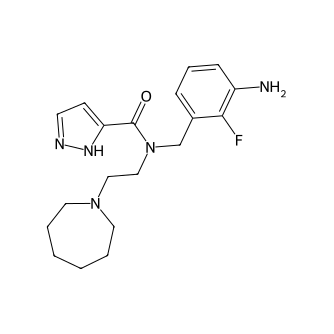 Nc1cccc(CN(CCN2CCCCCC2)C(=O)c2ccn[nH]2)c1F